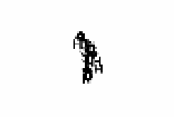 O=C(NCc1cc2cnccc2[nH]1)[C@@H]1CCc2cnc(NCc3ccccc3)c(=O)n21